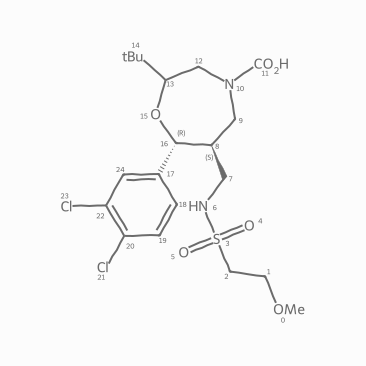 COCCS(=O)(=O)NC[C@@H]1CN(C(=O)O)CC(C(C)(C)C)O[C@H]1c1ccc(Cl)c(Cl)c1